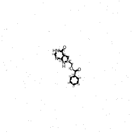 O=C(OC[n+]1cc2c(=O)[nH]cnc2[nH]1)c1ccccc1